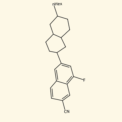 CCCCCCC1CCC2CC(c3cc(F)c4cc(C#N)ccc4c3)CCC2C1